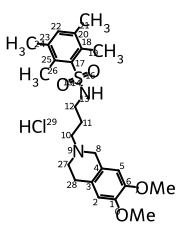 COc1cc2c(cc1OC)CN(CCCNS(=O)(=O)c1c(C)c(C)cc(C)c1C)CC2.Cl